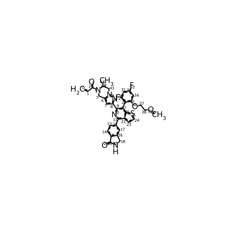 C=CC(=O)N1Cc2cc(-c3nc(-c4ccc5c(c4)CNC5=O)c4ccsc4c3-c3c(F)cc(F)cc3OCCOC)nn2C[C@H]1C